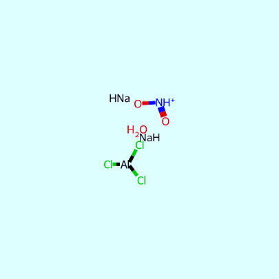 O.O=[NH+][O-].[Cl][Al]([Cl])[Cl].[NaH].[NaH]